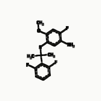 COc1cc(F)c(N)cc1SC(C)(C)c1c(F)cccc1F